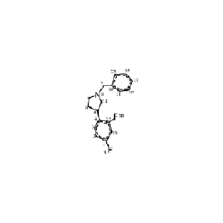 Fc1ccc(C2[CH]CN(Cc3ccccc3)C2)c(F)c1